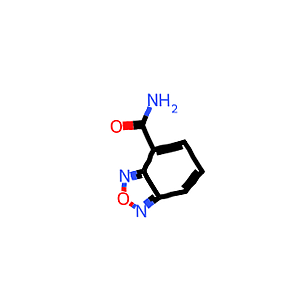 NC(=O)c1cccc2nonc12